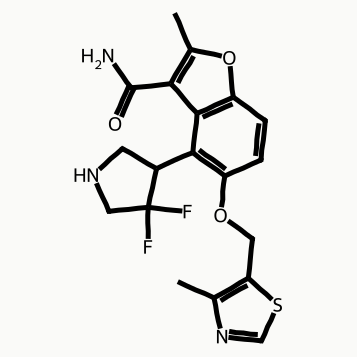 Cc1ncsc1COc1ccc2oc(C)c(C(N)=O)c2c1C1CNCC1(F)F